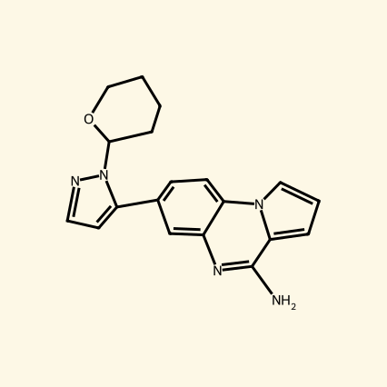 Nc1nc2cc(-c3ccnn3C3CCCCO3)ccc2n2cccc12